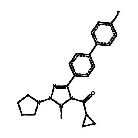 CN1N(C(=O)C2CC2)C(c2ccc(-c3ccc(F)cc3)cc2)=NN1N1CCCC1